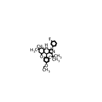 CCOc1ccc(C2C3=C(CC(C)(C)CC3=O)Nc3c2c(C(C)(C)C)nn3-c2cccc(F)c2)cc1